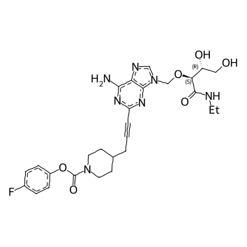 CCNC(=O)[C@@H](OCn1cnc2c(N)nc(C#CCC3CCN(C(=O)Oc4ccc(F)cc4)CC3)nc21)[C@H](O)CO